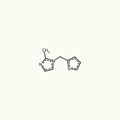 Cc1nccn1Cc1cccs1